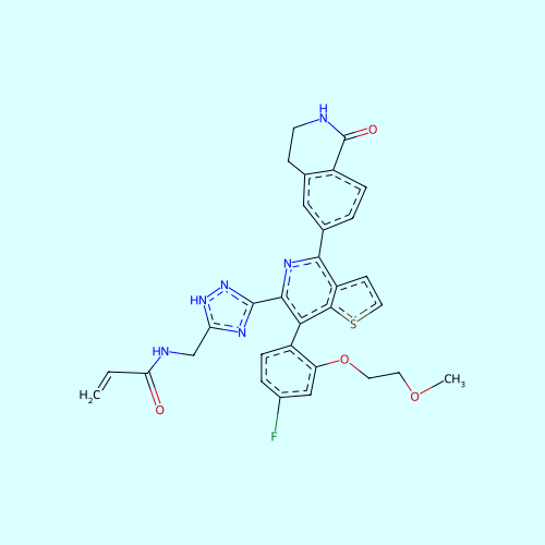 C=CC(=O)NCc1nc(-c2nc(-c3ccc4c(c3)CCNC4=O)c3ccsc3c2-c2ccc(F)cc2OCCOC)n[nH]1